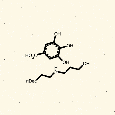 CCCCCCCCCCCCNCCCO.O=C(O)c1cc(O)c(O)c(O)c1